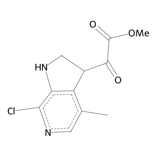 COC(=O)C(=O)C1CNc2c(Cl)ncc(C)c21